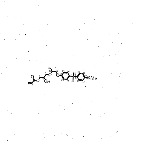 C=CC(=O)OCC(O)COC(C)COc1ccc(C(C)(C)c2ccc(OC)cc2)cc1